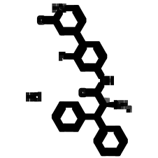 Cl.N[C@H](C(=O)Nc1ccc(-c2cc[nH]c(=O)c2)c(F)c1)C(c1ccccc1)c1ccccc1